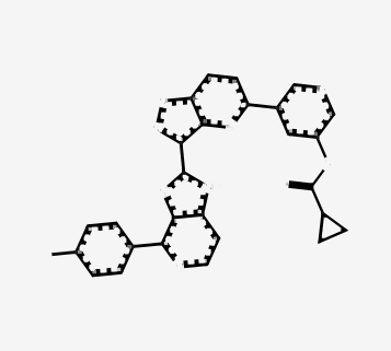 O=C(Nc1cncc(-c2ccc3[nH]nc(-c4nc5c(-c6ccc(F)cc6)nccc5[nH]4)c3n2)c1)C1CC1